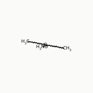 CCCCCCCCC=CCCCCCCCC(=O)OC(CN)CCCCCCCCCCCCCCC